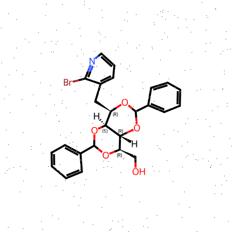 OC[C@H]1OC(c2ccccc2)O[C@@H]2[C@@H]1OC(c1ccccc1)O[C@@H]2Cc1cccnc1Br